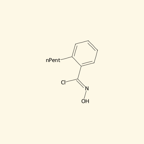 CCCCCc1ccccc1C(Cl)=NO